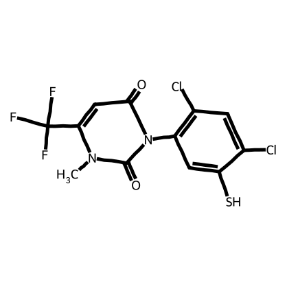 Cn1c(C(F)(F)F)cc(=O)n(-c2cc(S)c(Cl)cc2Cl)c1=O